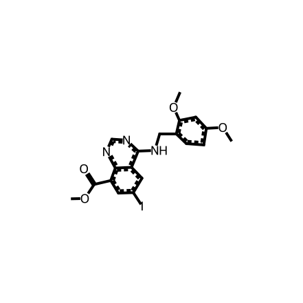 COC(=O)c1cc(I)cc2c(NCc3ccc(OC)cc3OC)ncnc12